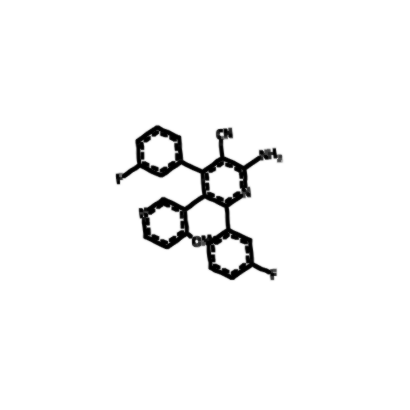 COc1ccncc1-c1c(-c2cccc(F)c2)nc(N)c(C#N)c1-c1cccc(F)c1